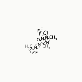 Cc1cnc2c(C)c(N3CCN(c4c(C)cccc4F)CC3)c(=O)n(Cc3ncccc3C(F)(F)F)c2n1